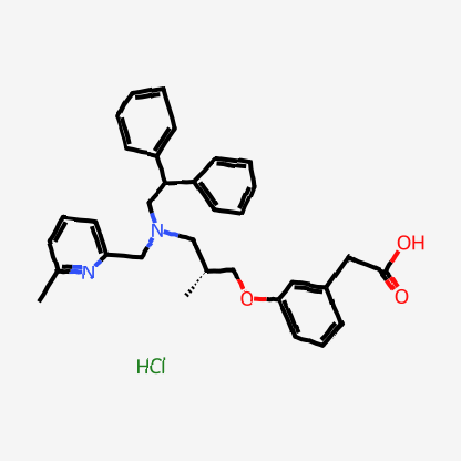 Cc1cccc(CN(CC(c2ccccc2)c2ccccc2)C[C@@H](C)COc2cccc(CC(=O)O)c2)n1.Cl